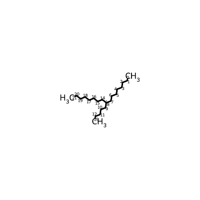 CCCCCCCC[C](CCCCC)CCCCCCCC